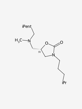 CCCC(C)CN(C)C[C@H]1CN(CCCC(C)C)C(=O)O1